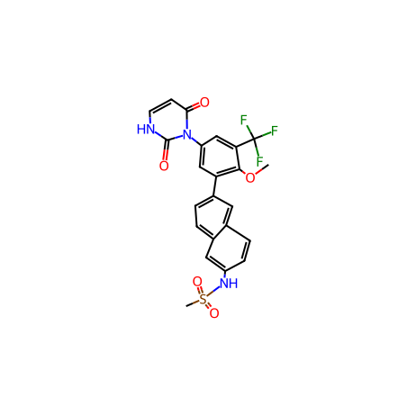 COc1c(-c2ccc3cc(NS(C)(=O)=O)ccc3c2)cc(-n2c(=O)cc[nH]c2=O)cc1C(F)(F)F